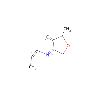 C=C1/C(=N\C=C/C)COC1C